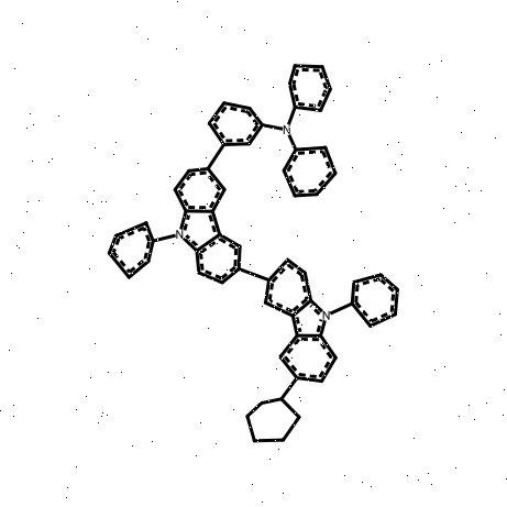 c1ccc(N(c2ccccc2)c2cccc(-c3ccc4c(c3)c3cc(-c5ccc6c(c5)c5cc(C7CCCCC7)ccc5n6-c5ccccc5)ccc3n4-c3ccccc3)c2)cc1